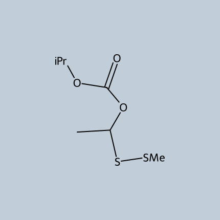 CSSC(C)OC(=O)OC(C)C